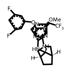 COc1cc(N2C[C@H]3CC[C@@H](C2)[C@@H]3Nc2nc(Oc3cc(F)cc(F)c3)n(CC(F)(F)F)n2)ccn1